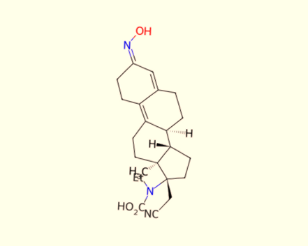 CCN(C(=O)O)[C@@]1(CC#N)CC[C@H]2[C@@H]3CCC4=C/C(=N\O)CCC4=C3CC[C@@]21C